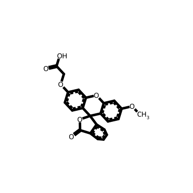 COc1ccc2c(c1)Oc1cc(OCC(=O)O)ccc1C21OC(=O)c2ccccc21